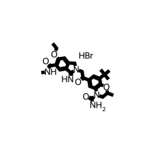 Br.CCOc1cc2c(cc1C(=O)NC)C(=N)N(CC(=O)c1cc3c(c(C(C)(C)C)c1)OC(C)CN3C(N)=O)C2